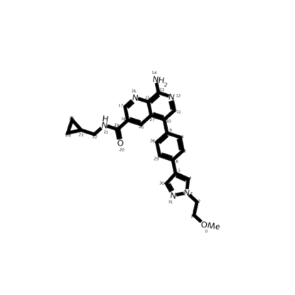 COCCn1cc(-c2ccc(-c3cnc(N)c4ncc(C(=O)NCC5CC5)cc34)cc2)cn1